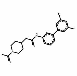 CC(=O)N1CCC(CC(=O)Nc2cccc(-c3cc(F)cc(F)c3)n2)CC1